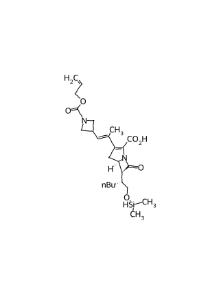 C=CCOC(=O)N1CC(C=C(C)C2=C(C(=O)O)N3C(=O)[C@@H]([C@@H](CCCC)CO[SiH](C)C)[C@H]3C2)C1